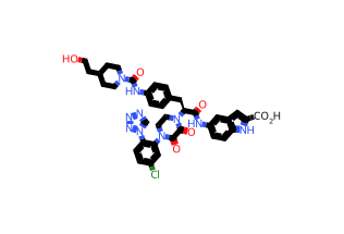 O=C(O)c1cc2cc(NC(=O)[C@H](Cc3ccc(NC(=O)N4CCC(CCO)CC4)cc3)N3CCN(c4cc(Cl)ccc4-n4cnnn4)C(=O)C3=O)ccc2[nH]1